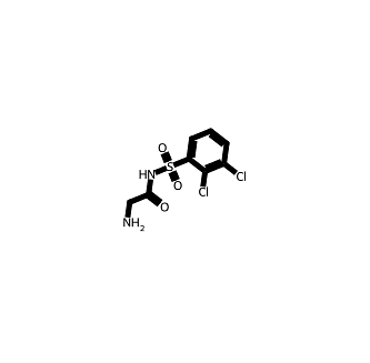 NCC(=O)NS(=O)(=O)c1cccc(Cl)c1Cl